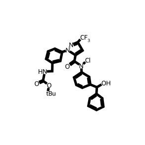 CC(C)(C)OC(=O)NCc1cccc(-n2nc(C(F)(F)F)cc2C(=O)N(Cl)c2cccc(C(O)c3ccccc3)c2)c1